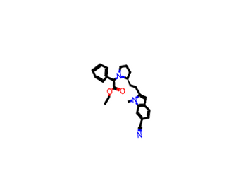 CCOC(=O)C(c1ccccc1)N1CCC[C@H]1CCc1cc2ccc(C#N)cc2n1C